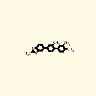 Cc1nc2cc(-c3ccc(-c4ccc(C)c(C)c4)c(C)c3)ccc2o1